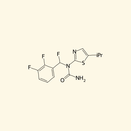 CC(C)c1cnc(N(C(N)=O)C(F)c2cccc(F)c2F)s1